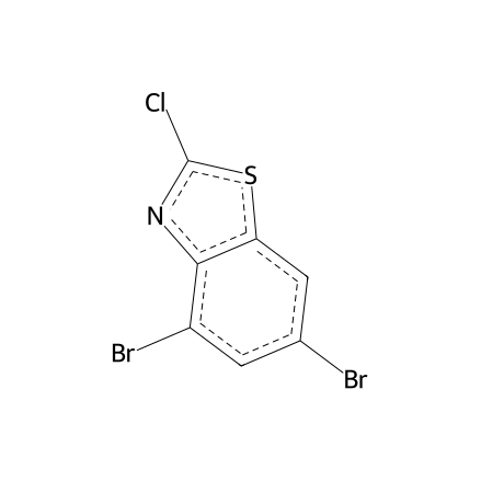 Clc1nc2c(Br)cc(Br)cc2s1